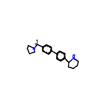 C[C@H](c1ccc(-c2ccc(C3CCCCN3)cc2)cc1)N1CCCC1